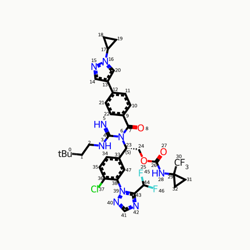 CC(C)(C)CCNC(=N)N(C(=O)c1ccc(-c2cnn(C3CC3)c2)cc1)[C@H](COC(=O)NC1(C(F)(F)F)CC1)c1ccc(Cl)c(-n2ncnc2C(F)F)c1